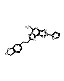 Nc1nc2nn(-c3ccco3)nc2c2nc(CCc3ccc4c(c3)OOC4)nn12